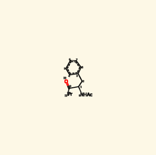 CC(=O)NC(Cc1ccccc1)C(=O)C(C)C